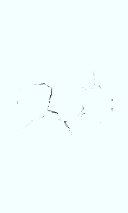 Fc1ccc2nccc(C3CCNCC3(F)F)c2c1